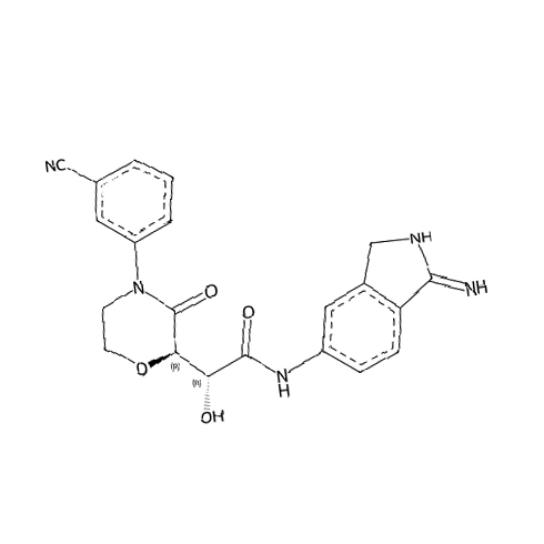 N#Cc1cccc(N2CCO[C@H]([C@@H](O)C(=O)Nc3ccc4c(c3)CNC4=N)C2=O)c1